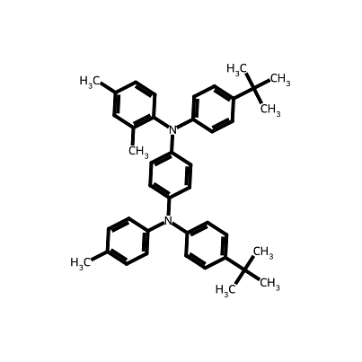 Cc1ccc(N(c2ccc(N(c3ccc(C(C)(C)C)cc3)c3ccc(C)cc3C)cc2)c2ccc(C(C)(C)C)cc2)cc1